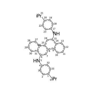 CC(C)c1ccc(Nc2cc3c4ccccc4c(Nc4ccc(C(C)C)cc4)cc3c3ccccc23)cc1